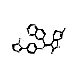 Cn1ccnc1-c1ccc(N/C(=C2\C(=O)Nc3cc(F)ccc32)c2ccc3nccnc3c2)cc1